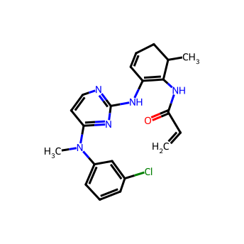 C=CC(=O)NC1=C(Nc2nccc(N(C)c3cccc(Cl)c3)n2)C=CCC1C